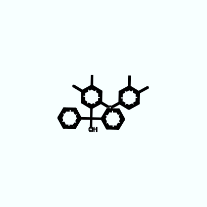 Cc1ccc(Oc2cc(C)c(C)cc2C(O)(c2ccccc2)c2ccccc2)cc1C